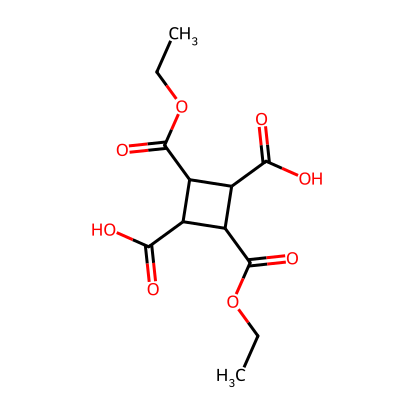 CCOC(=O)C1C(C(=O)O)C(C(=O)OCC)C1C(=O)O